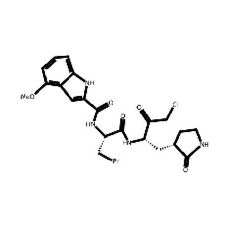 COc1cccc2[nH]c(C(=O)N[C@@H](CC(C)C)C(=O)N[C@@H](C[C@@H]3CCNC3=O)C(=O)CCl)cc12